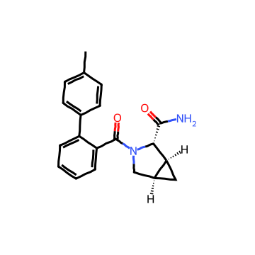 Cc1ccc(-c2ccccc2C(=O)N2C[C@@H]3C[C@@H]3[C@H]2C(N)=O)cc1